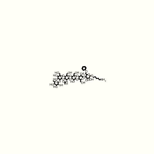 CC(=O)NC1C(O[C@@H]2OC(CO)[C@H](O)C(O)C2O[C@@H]2OC(C)[C@@H](O)C(O)C2O)[C@@H](O)C(CO)O[C@H]1OC1C(O)[C@@H](O[C@H]2C(CO)O[C@@H](O[C@]3(C)C(COc4ccccc4)O[C@@H](OCCCCCN)C(O)C3O)C(O)C2O)OC(CO)[C@@H]1O